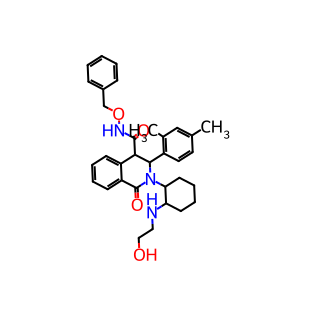 Cc1ccc(C2C(C(=O)NOCc3ccccc3)c3ccccc3C(=O)N2C2CCCCC2NCCO)c(C)c1